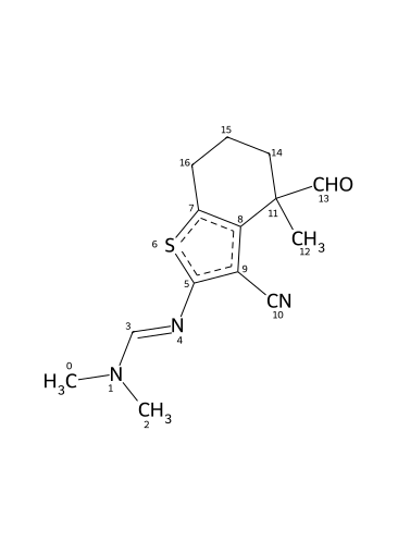 CN(C)/C=N/c1sc2c(c1C#N)C(C)(C=O)CCC2